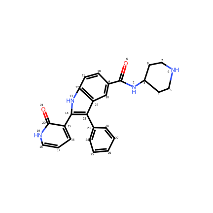 O=C(NC1CCNCC1)c1ccc2[nH]c(-c3ccc[nH]c3=O)c(-c3ccccc3)c2c1